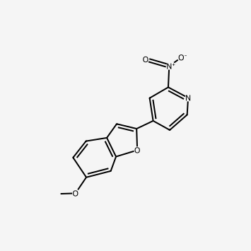 COc1ccc2cc(-c3ccnc([N+](=O)[O-])c3)oc2c1